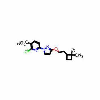 CCC1(C)CCC1CCOc1ccn(-c2ccc(C(=O)O)c(Cl)n2)n1